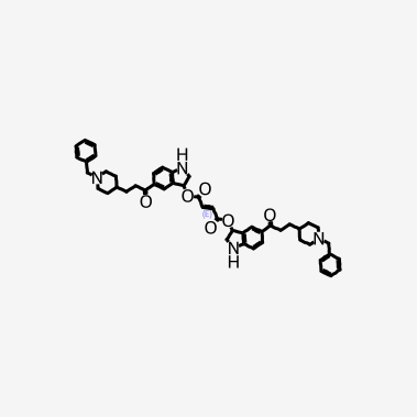 O=C(/C=C/C(=O)OC1CNc2ccc(C(=O)CCC3CCN(Cc4ccccc4)CC3)cc21)OC1CNc2ccc(C(=O)CCC3CCN(Cc4ccccc4)CC3)cc21